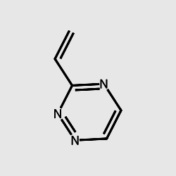 C=Cc1nccnn1